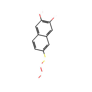 OOOSc1ccc2cc(O)c(O)cc2c1